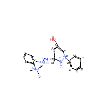 CC1(/N=N/c2ccccc2[N+](C)(C)C)CC(O)=CN(c2ccccc2)N1